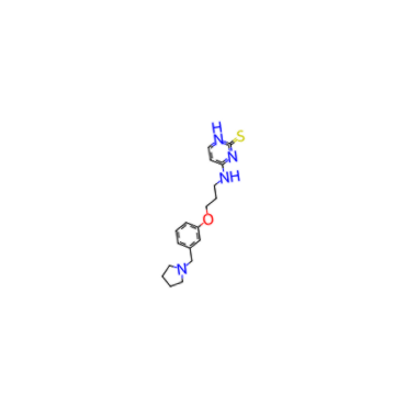 S=c1nc(NCCCOc2cccc(CN3CCCC3)c2)cc[nH]1